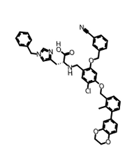 Cc1c(COc2cc(OCc3cccc(C#N)c3)c(CN[C@H](Cc3cn(Cc4ccccc4)cn3)C(=O)O)cc2Cl)cccc1-c1ccc2c(c1)OCCO2